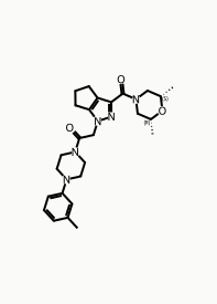 Cc1cccc(N2CCN(C(=O)Cn3nc(C(=O)N4C[C@@H](C)O[C@@H](C)C4)c4c3CCC4)CC2)c1